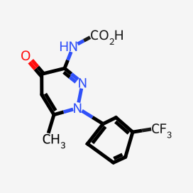 Cc1cc(=O)c(NC(=O)O)nn1-c1cccc(C(F)(F)F)c1